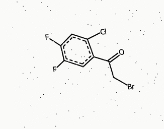 O=C(CBr)c1cc(F)c(F)cc1Cl